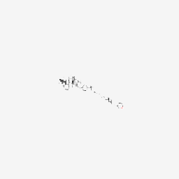 CN(c1ccccc1Nc1nc(Nc2ccc(C(=O)NCCCCCCC(=O)NOCc3ccccc3)cc2F)ncc1C(F)(F)F)S(C)(=O)=O